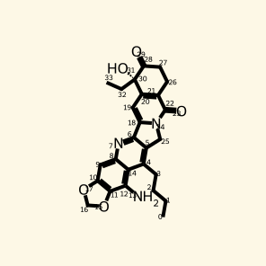 CCCCc1c2c(nc3cc4c(c(N)c13)OCO4)-c1cc3c(c(=O)n1C2)CCC(=O)[C@]3(O)CC